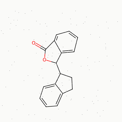 O=C1OC([C]2CCc3ccccc32)c2ccccc21